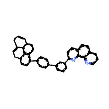 C1=Cc2ccc3c(-c4ccc(-c5cccc(-c6ccc7ccc8cccnc8c7n6)c5)cc4)ccc4c3c2C(=CC4)C1